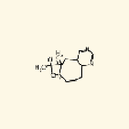 CC(C)(C)C1(C)CCCCC2N=CN=CC2C1